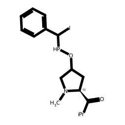 CC(C)C(=O)[C@@H]1CC(OPC(I)c2ccccc2)CN1C